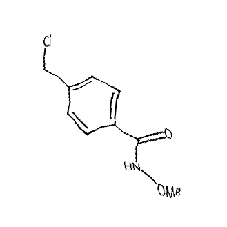 CONC(=O)c1ccc(CCl)cc1